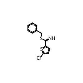 N=C(SCc1ccccc1)c1ccc(Cl)s1